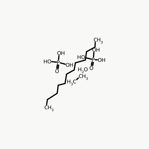 CC.CCCCCCCCCCCC.O.O=P(O)(O)O.O=P(O)(O)O